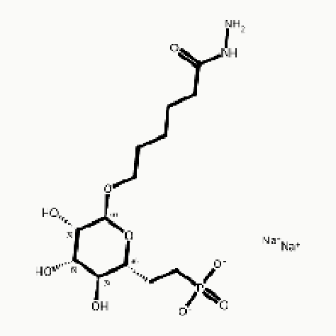 NNC(=O)CCCCCO[C@H]1O[C@H](CCP(=O)([O-])[O-])[C@@H](O)[C@H](O)[C@@H]1O.[Na+].[Na+]